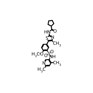 COc1ccc(-c2sc(NC(=O)C3CCCC3)nc2C)cc1S(=O)(=O)Nc1cnc(C)cc1C